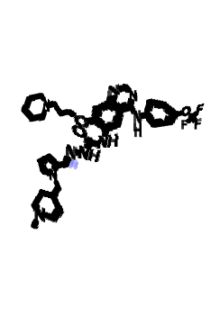 CN1CCC(Cn2cccc2/C=N/NC(=O)Nc2cc3c(Nc4ccc(OC(F)(F)F)cc4)ncnc3cc2OCCCN2CCCCC2)CC1